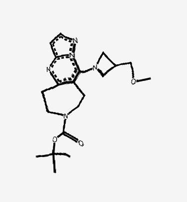 COCC1CN(c2c3c(nc4ccnn24)CCN(C(=O)OC(C)(C)C)CC3)C1